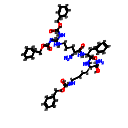 NC(=O)[C@H](CCCCNC(=O)OCc1ccccc1)NC(=O)[C@H](Cc1ccccc1)NC(=O)[C@H](N)CCCN/C(=N\C(=O)OCc1ccccc1)NC(=O)OCc1ccccc1